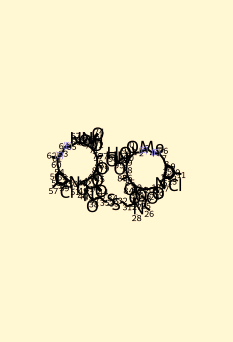 COC1/C=C/C=C(\C)Cc2cc(C)c(Cl)c(c2)N(C)C(=O)CC(OC(=O)C(C)N(C)C(=O)CCSSCCC(=O)N(C)C(C)C(=O)OC2CC(=O)N(C)c3cc(cc(C)c3Cl)C/C(C)=C/C=C/C(C)C3(O)CC(OC(=O)N3)C(C)C3OC23C)C2(C)OC2C(C)C2CC1(O)NC(=O)O2